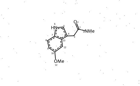 CNC(=O)Cc1c[nH]c2ccc(OC)cc12